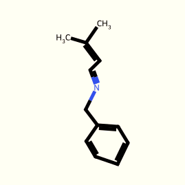 CC(C)=CC=NCc1ccccc1